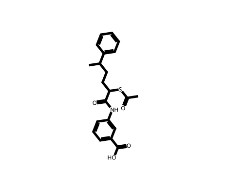 CC(=O)SC(CCC(C)c1ccccc1)C(=O)Nc1cccc(C(=O)O)c1